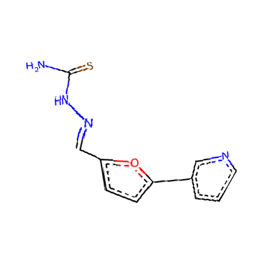 NC(=S)NN=Cc1ccc(-c2cccnc2)o1